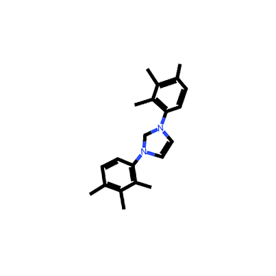 Cc1ccc(N2C=CN(c3ccc(C)c(C)c3C)C2)c(C)c1C